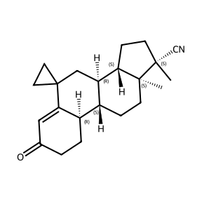 C[C@]1(C#N)CC[C@H]2[C@@H]3CC4(CC4)C4=CC(=O)CC[C@@H]4[C@H]3CC[C@@]21C